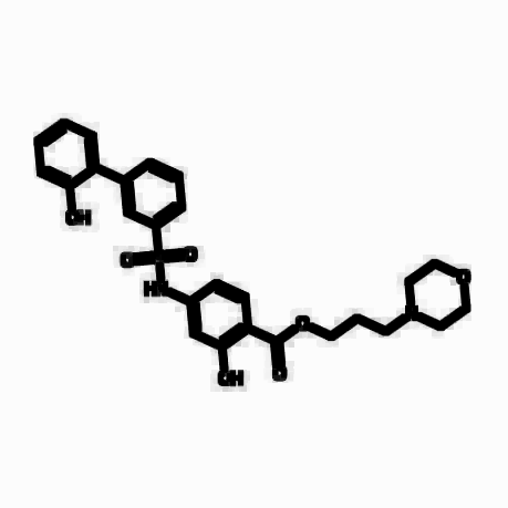 O=C(OCCCN1CCOCC1)c1ccc(NS(=O)(=O)c2cccc(-c3ccccc3O)c2)cc1O